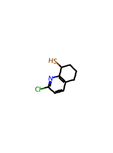 SC1CCCc2ccc(Cl)nc21